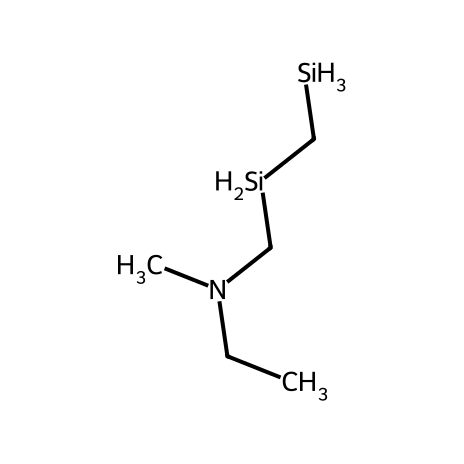 CCN(C)C[SiH2]C[SiH3]